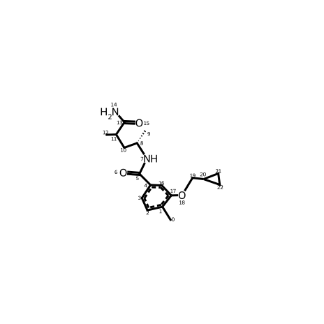 Cc1ccc(C(=O)N[C@@H](C)CC(C)C(N)=O)cc1OCC1CC1